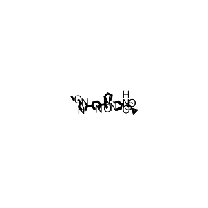 CCOc1cncc(-c2ccc(C(=O)N3CCC[C@@H]3c3cc(NS(=O)(=O)C4CC4)ccn3)nc2)n1